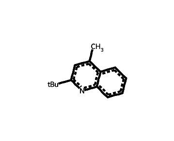 Cc1cc(C(C)(C)C)nc2ccccc12